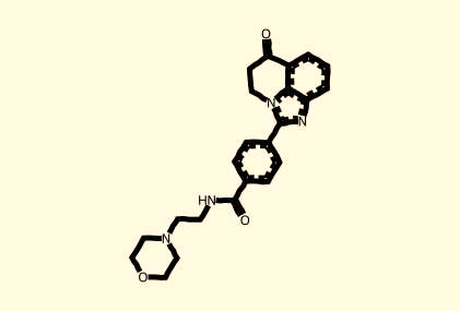 O=C(NCCN1CCOCC1)c1ccc(-c2nc3cccc4c3n2CCC4=O)cc1